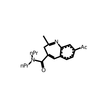 CCCN(CCC)C(=O)C1=Cc2ccc(C(C)=O)cc2N=C(C)C1